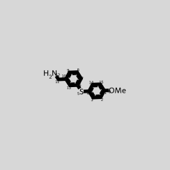 COc1ccc(Sc2cccc(CN)c2)cc1